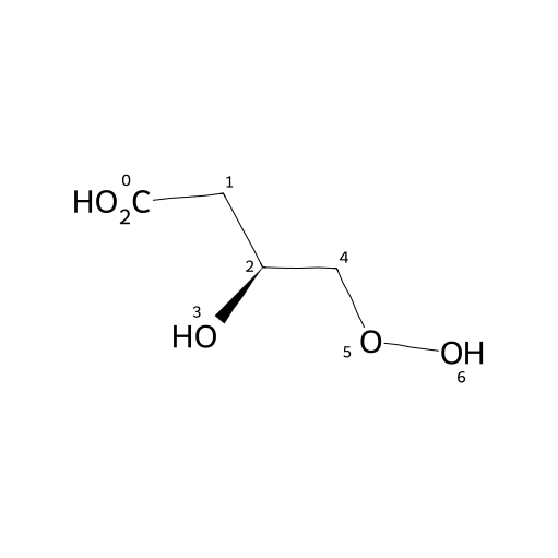 O=C(O)C[C@H](O)COO